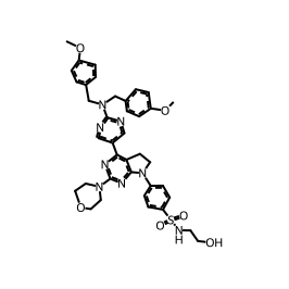 COc1ccc(CN(Cc2ccc(OC)cc2)c2ncc(-c3nc(N4CCOCC4)nc4c3CCN4c3ccc(S(=O)(=O)NCCO)cc3)cn2)cc1